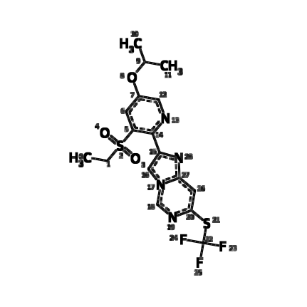 CCS(=O)(=O)c1cc(OC(C)C)cnc1-c1cn2cnc(SC(F)(F)F)cc2n1